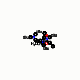 CC(C)(C)c1ccc(N2B3c4oc5cc(-c6ccccc6)ccc5c4N(c4ccc(C(C)(C)C)cc4)c4c3c(cc3c4oc4ccccc43)-c3cc4c(cc32)C(C)(C)c2ccc(N(c3ccc(C(C)(C)C)cc3)c3ccc(C(C)(C)C)cc3)cc2-4)cc1